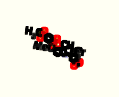 C=Cc1c(/C=C(\C)c2cc3c(cc2CCC)OCO3)ccc(OC)c1OS(=O)(=O)c1ccc(S(C)(=O)=O)cc1